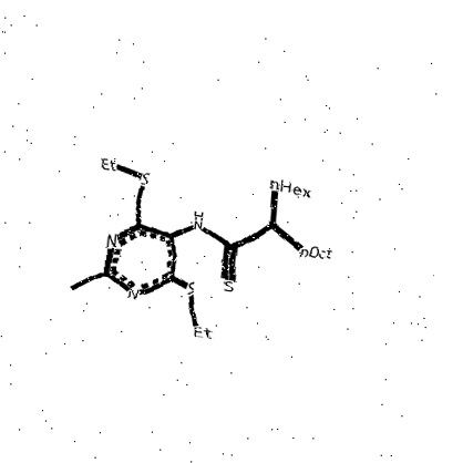 CCCCCCCCC(CCCCCC)C(=S)Nc1c(SCC)nc(C)nc1SCC